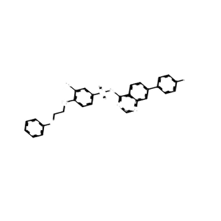 O=[N+]([O-])c1cc(S(=O)(=O)Nc2ncnc3cc(-c4ccc(F)cc4)ccc23)ccc1NCCSc1ccccc1